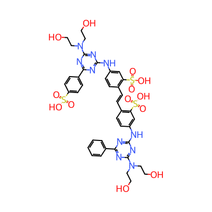 O=S(=O)(O)c1ccc(-c2nc(Nc3ccc(C=Cc4ccc(Nc5nc(-c6ccccc6)nc(N(CCO)CCO)n5)cc4S(=O)(=O)O)c(S(=O)(=O)O)c3)nc(N(CCO)CCO)n2)cc1